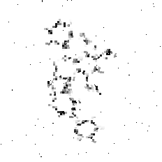 Nc1cc([C@H](Cc2nc3ccc(-c4ccccc4)cc3[nH]2)c2ccccc2)c(N)c(N)n1